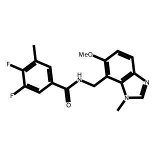 COc1ccc2ncn(C)c2c1CNC(=O)c1cc(C)c(F)c(F)c1